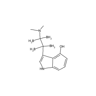 BC(B)(c1c[nH]c2cccc(O)c12)C(B)(B)N(C)C